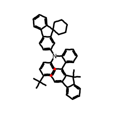 CC(C)(C)c1ccc(N(c2ccc3c(c2)C2(CCCCC2)c2ccccc2-3)c2ccccc2-c2cccc3c2C(C)(C)c2ccccc2-3)cc1